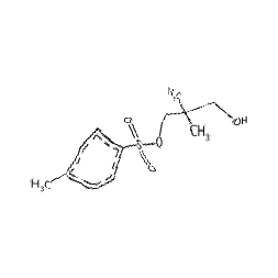 Cc1ccc(S(=O)(=O)OCC(C)(C)CO)cc1